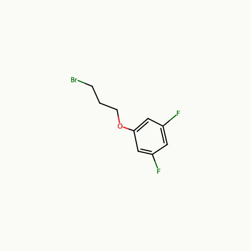 Fc1cc(F)cc(OCCCBr)c1